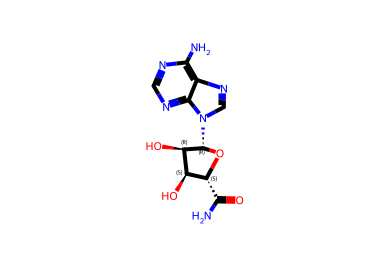 NC(=O)[C@H]1O[C@@H](n2cnc3c(N)ncnc32)[C@H](O)[C@@H]1O